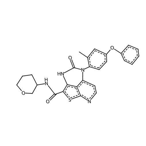 Cc1cc(Oc2ccccc2)ccc1N1C(=O)Nc2c(C(=O)NC3CCCOC3)sc3nccc1c23